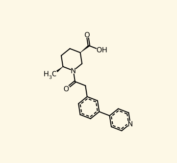 C[C@H]1CC[C@@H](C(=O)O)CN1C(=O)Cc1cccc(-c2ccncc2)c1